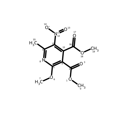 COC(=O)c1c(OC)nc(C)c([N+](=O)[O-])c1C(=O)OC